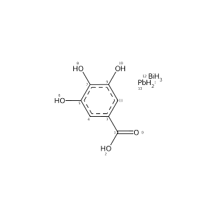 O=C(O)c1cc(O)c(O)c(O)c1.[BiH3].[PbH2]